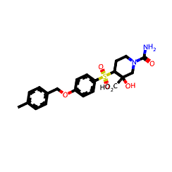 Cc1ccc(COc2ccc(S(=O)(=O)C3CCN(C(N)=O)CC3(O)C(=O)O)cc2)cc1